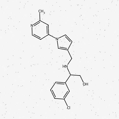 Cc1cc(-n2ccc(CNC(CO)c3cccc(Cl)c3)c2)ccn1